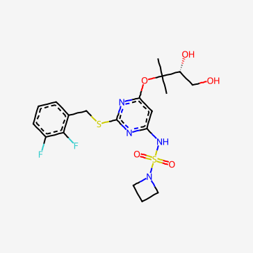 CC(C)(Oc1cc(NS(=O)(=O)N2CCC2)nc(SCc2cccc(F)c2F)n1)[C@H](O)CO